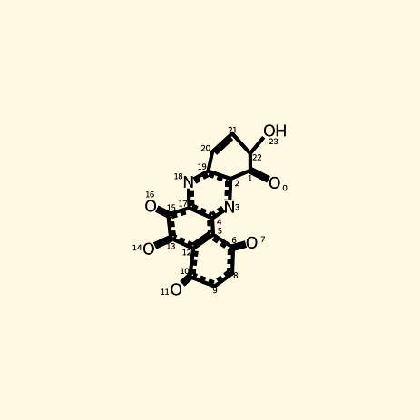 O=C1c2nc3c4c(=O)ccc(=O)c=4c(=O)c(=O)c3nc2C=CC1O